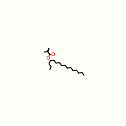 C=C(C)C(=O)OC(CCC)CCCCCCCCCCCC